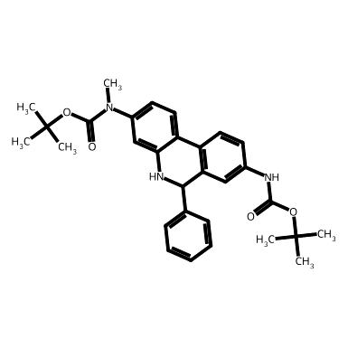 CN(C(=O)OC(C)(C)C)c1ccc2c(c1)NC(c1ccccc1)c1cc(NC(=O)OC(C)(C)C)ccc1-2